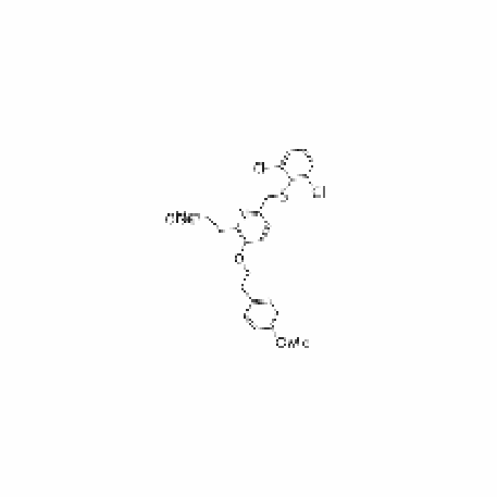 COc1ccc(CCOc2ccc(CSc3c(Cl)cccc3Cl)nc2CCC(=O)[O-])cc1.[Na+]